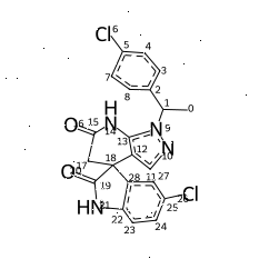 CC(c1ccc(Cl)cc1)n1ncc2c1NC(=O)CC21C(=O)Nc2ccc(Cl)cc21